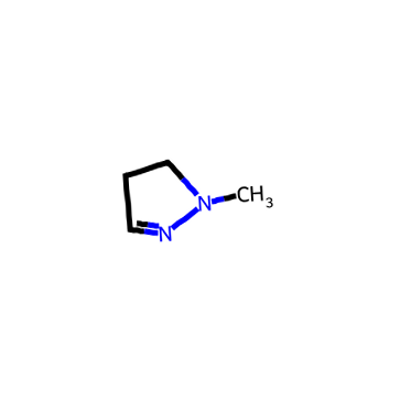 CN1CCC=N1